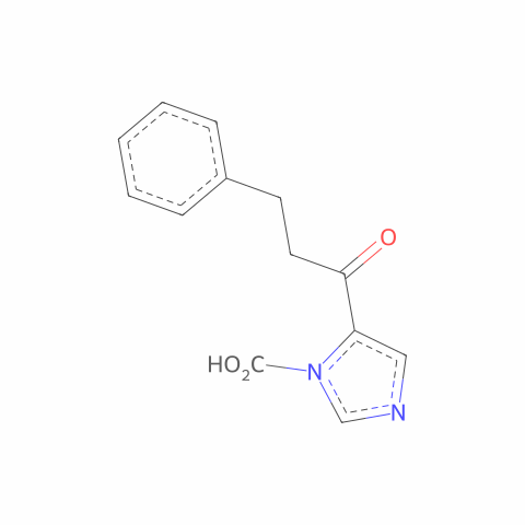 O=C(CCc1ccccc1)c1cncn1C(=O)O